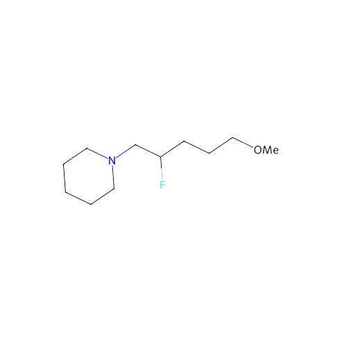 COCCCC(F)CN1CCCCC1